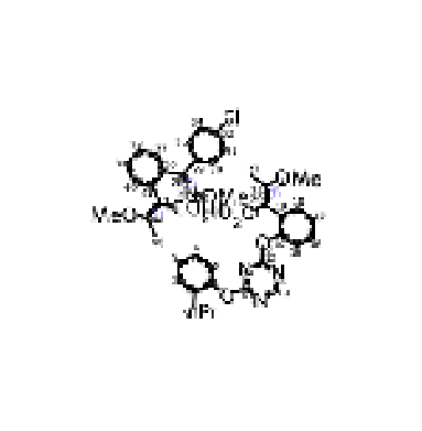 CCCc1ccccc1Oc1ncnc(Oc2ccccc2/C(C(=O)O)=C(/C)OC)n1.CO/N=C(\c1ccc(Cl)cc1)c1ccccc1/C(C(=O)O)=C(/C)OC